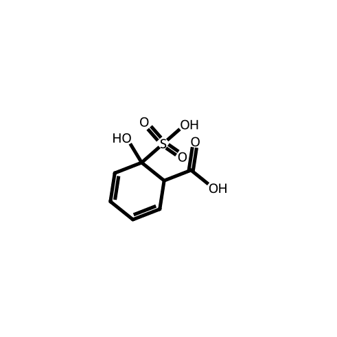 O=C(O)C1C=CC=CC1(O)S(=O)(=O)O